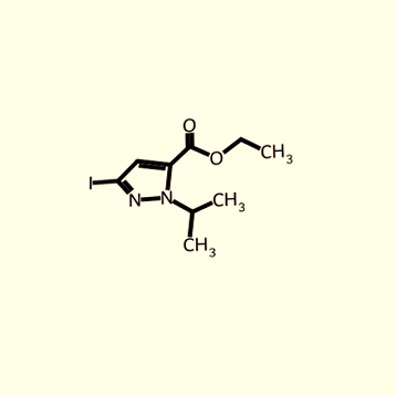 CCOC(=O)c1cc(I)nn1C(C)C